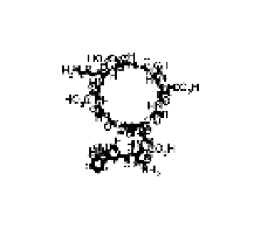 CCC(C)C1NC(=O)C(CCC(=O)O)NC(=O)C(CO)NC(=O)CNC(=O)C(CC(=O)O)NC(=O)C(CCCCN)NC(=O)C(CC(=O)O)NC(=O)C(C)NC(=O)CN(C)C(=O)C(NC(=O)C(CC(=O)O)NC(=O)C(CC(N)=O)NC(=O)C(Cc2c[nH]c3ccccc23)NC=O)C(C)OC1=O